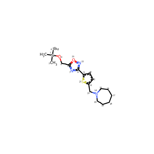 CC(C)(C)[Si](C)(C)OCc1nc(-c2ccc(CN3CCCCCC3)s2)no1